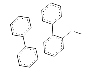 COc1ccccc1-c1ccccc1.c1ccc(-c2ccccc2)cc1